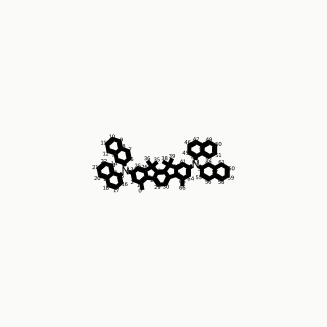 Cc1cc(N(c2ccc3ccccc3c2)c2cccc3ccccc23)cc2c1-c1ccc3c(c1C2(C)C)C(C)(C)c1cc(N(c2cccc4ccccc24)C2C=CC4=CC=CCC4C2)cc(C)c1-3